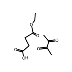 CC(=O)C(C)=O.CCOC(=O)CCC(=O)O